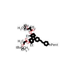 C=C(CO[Si](C)(C)C(C)(C)C)C(=O)Oc1ccc(C2(c3ccc(OC(=O)C(=C)CO[Si](C)(C)C(C)(C)C)c(CC)c3)CCC(CCC3CCC(CCCCC)CC3)CC2)cc1CC